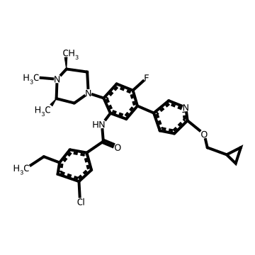 CCc1cc(Cl)cc(C(=O)Nc2cc(-c3ccc(OCC4CC4)nc3)c(F)cc2N2C[C@@H](C)N(C)[C@@H](C)C2)c1